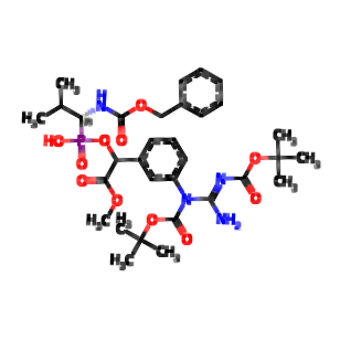 COC(=O)C(OP(=O)(O)[C@@H](NC(=O)OCc1ccccc1)C(C)C)c1cccc(N(C(=O)OC(C)(C)C)C(N)=NC(=O)OC(C)(C)C)c1